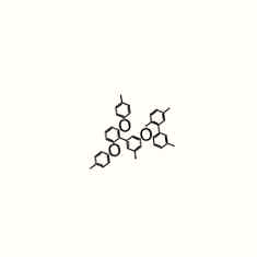 Cc1ccc(Oc2cccc(Oc3ccc(C)cc3)c2-c2cc(C)cc(Oc3ccc(C)cc3-c3cc(C)ccc3C)c2)cc1